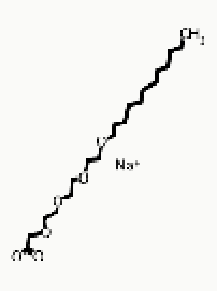 CCCCCCCCCCCCOCCOCCOCCOCC(=O)[O-].[Na+]